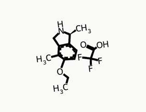 CCOc1ccc2c(c1C)CN[C@H]2C.O=C(O)C(F)(F)F